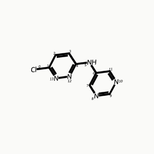 Clc1ccc(Nc2cncnc2)nn1